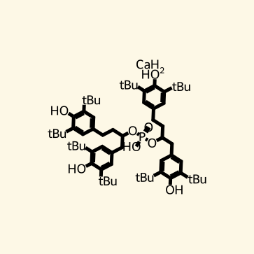 CC(C)(C)c1cc(CCC(Cc2cc(C(C)(C)C)c(O)c(C(C)(C)C)c2)OP(=O)(O)OC(CCc2cc(C(C)(C)C)c(O)c(C(C)(C)C)c2)Cc2cc(C(C)(C)C)c(O)c(C(C)(C)C)c2)cc(C(C)(C)C)c1O.[CaH2]